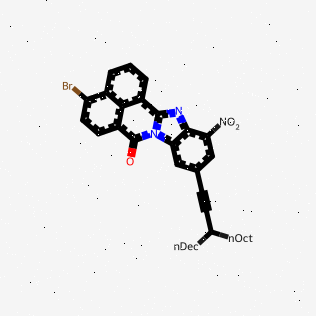 CCCCCCCCCCC(C#Cc1cc([N+](=O)[O-])c2nc3c4cccc5c(Br)ccc(c(=O)n3c2c1)c54)CCCCCCCC